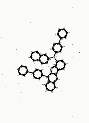 c1ccc(-c2ccc(-c3c4ccccc4cc4c3oc3c(N(c5ccc(-c6ccccc6)cc5)c5ccc6ccccc6c5)cccc34)cc2)cc1